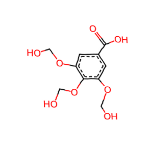 O=C(O)c1cc(OCO)c(OCO)c(OCO)c1